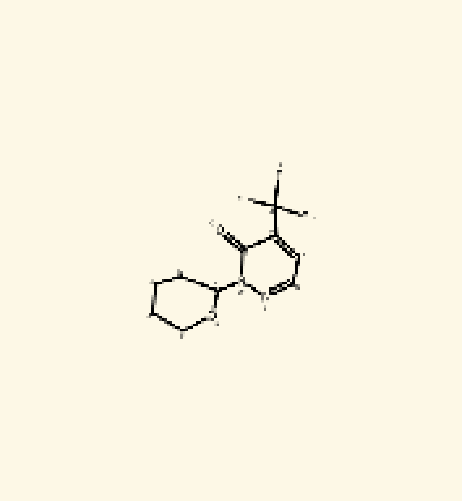 O=c1c(C(F)(F)F)ccnn1C1CCCCO1